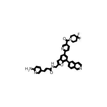 Nc1ccc(/C=C/C(=O)NCc2cc3cc(-c4ccc(C(=O)N5CCC(F)(F)CC5)cn4)cc(-c4ccc5cnccc5c4)c3o2)cn1